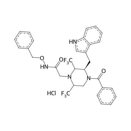 Cl.O=C(CN1C(C(F)(F)F)CN(C(=O)c2ccccc2)[C@H](Cc2c[nH]c3ccccc23)C1C(F)(F)F)NOCc1ccccc1